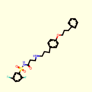 O=C(CCNCCCc1ccc(OCCCc2ccccc2)cc1)NS(=O)(=O)c1cc(F)ccc1F